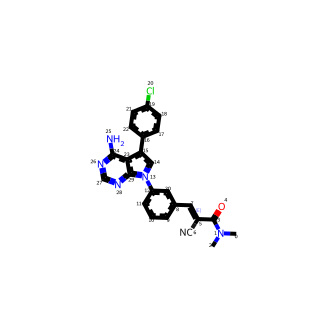 CN(C)C(=O)/C(C#N)=C/c1cccc(-n2cc(-c3ccc(Cl)cc3)c3c(N)ncnc32)c1